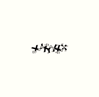 CCC(C)(C)O[SiH](C)C(C)(CC)C(C)O[Si](C)(C)C(C)(CC)O[Si](C)(C)C